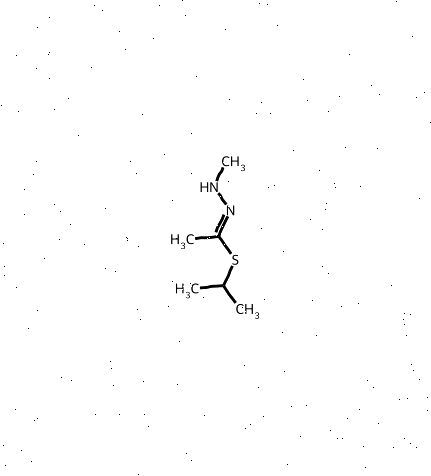 CN/N=C(\C)SC(C)C